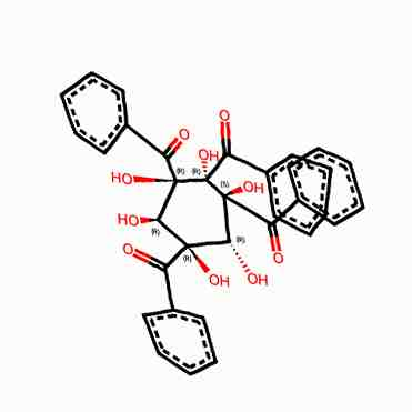 O=C(c1ccccc1)[C@]1(O)[C@@H](O)[C@](O)(C(=O)c2ccccc2)[C@@](O)(C(=O)c2ccccc2)[C@](O)(C(=O)c2ccccc2)[C@@H]1O